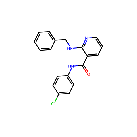 O=C(Nc1ccc(Cl)cc1)c1cccnc1NCc1ccccc1